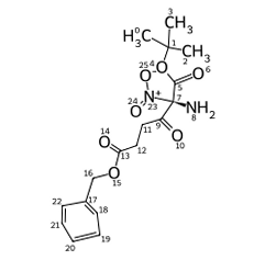 CC(C)(C)OC(=O)[C@](N)(C(=O)CCC(=O)OCc1ccccc1)[N+](=O)[O-]